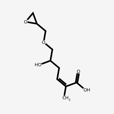 CC(=CCC(O)COCC1CO1)C(=O)O